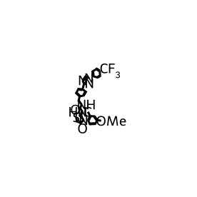 COc1ccc(N2C(=O)CS/C2=N\C(=O)NCc2ccc(-c3ncn(-c4ccc(C(F)(F)F)cc4)n3)cc2)c(C)c1